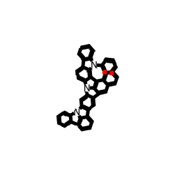 c1ccc(-n2c3ccccc3c3ccc4c(c5c6ccccc6cc6c7cc8c9cccc%10c%11ccccc%11n(c8cc7n4c65)c%109)c32)cc1